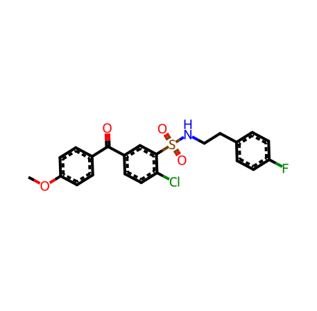 COc1ccc(C(=O)c2ccc(Cl)c(S(=O)(=O)NCCc3ccc(F)cc3)c2)cc1